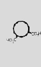 O=C(O)C1CCCCCCCC(C(=O)O)CC1